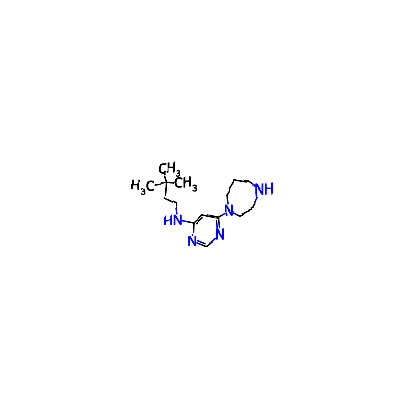 CC(C)(C)CCNc1cc(N2CCCNCC2)ncn1